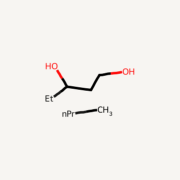 CCC(O)CCO.CCCC